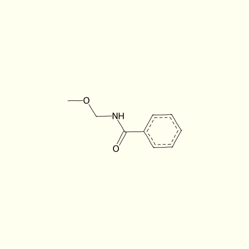 COCNC(=O)c1ccccc1